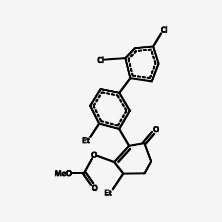 CCc1ccc(-c2ccc(Cl)cc2Cl)cc1C1=C(OC(=O)OC)C(CC)CCC1=O